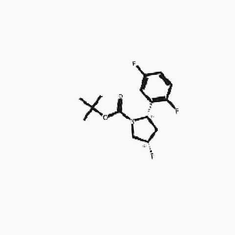 CC(C)(C)OC(=O)N1C[C@@H](F)C[C@H]1c1cc(F)ccc1F